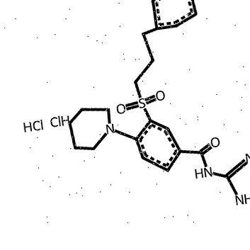 Cl.Cl.N=C(N)NC(=O)c1ccc(N2CCCCC2)c(S(=O)(=O)CCCc2ccccc2)c1